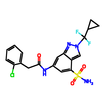 NS(=O)(=O)c1cc(NC(=O)Cc2ccccc2Cl)cc2nn(C(F)(F)C3CC3)cc12